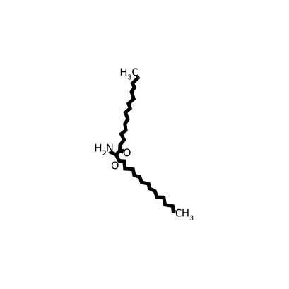 CCCCCCCCCCCCCCCC(=O)C(CN)C(=O)CCCCCCCCCCCCCCC